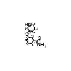 NC(=O)c1cccc(OC2CCCNC2)c1